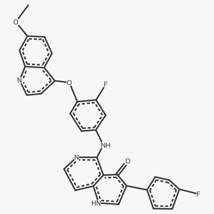 COc1ccc2c(Oc3ccc(Nc4nccc5[nH]cc(-c6ccc(F)cc6)c(=O)c45)cc3F)ccnc2c1